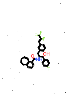 O=C(NC(Cc1cccc(C=C(F)C(F)F)c1)C(O)c1ccc(F)cc1)c1cccc2c1C=CCCC2